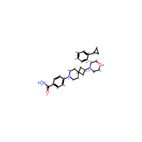 NC(=O)c1ccc(N2CCC3(CC2)CC(N2CCOC[C@H]2c2ccccc2C2CC2)C3)cc1